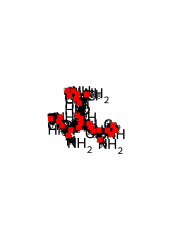 Cc1cccc2[nH]cc(CC(=O)N[C@H](CCCCN)C(=O)Nc3ccc(C(c4ccc(NC(=O)[C@@H](CCCCN)NC(=O)Cc5c[nH]c6cccc(C)c56)cc4)c4ccc(NC(=O)[C@@H](CCCCN)NC(=O)Cc5c[nH]c6cccc(C)c56)cc4)cc3)c12.Cl